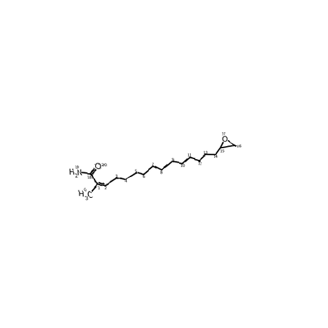 CC(=CCCCCCCCCCCCCC1CO1)C(N)=O